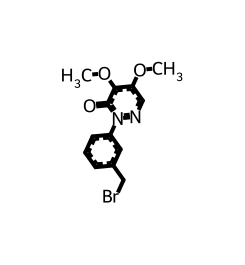 COc1cnn(-c2cccc(CBr)c2)c(=O)c1OC